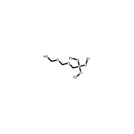 CCO[Si](COCOCS)(OCC)OCC